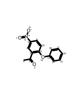 CC(=O)c1cc([N+](=O)[O-])ccc1Oc1ccccc1